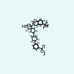 CCOC(=O)c1cccc(C2CCN([C@@H]3CC[C@@](C(=O)N4COc5ccc(C(F)(F)F)cc5C4)([C@H](C)O)C3)CC2)c1